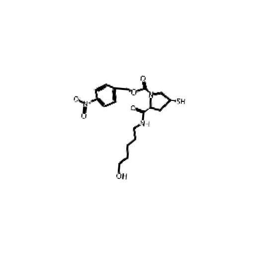 O=C(NCCCCCO)[C@@H]1C[C@H](S)CN1C(=O)OCc1ccc([N+](=O)[O-])cc1